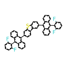 Fc1cccc(F)c1-c1c2ccccc2c(-c2ccc3c(c2)sc2ccc(-c4c5ccccc5c(-c5c(F)cccc5F)c5ccccc45)cc23)c2ccccc12